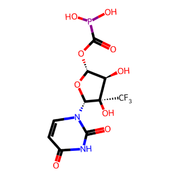 O=C(O[C@H]1O[C@@H](n2ccc(=O)[nH]c2=O)[C@@](O)(C(F)(F)F)[C@@H]1O)P(O)O